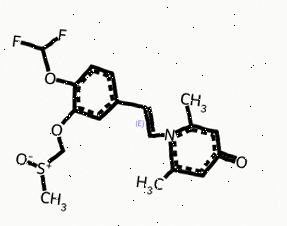 Cc1cc(=O)cc(C)n1/C=C/c1ccc(OC(F)F)c(OC[S+](C)[O-])c1